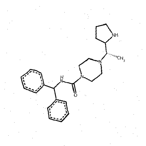 C[C@@H](C1CCCN1)N1CCN(C(=O)NC(c2ccccc2)c2ccccc2)CC1